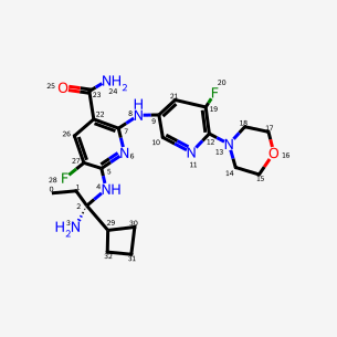 CC[C@@](N)(Nc1nc(Nc2cnc(N3CCOCC3)c(F)c2)c(C(N)=O)cc1F)C1CCC1